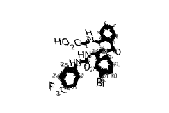 O=C(O)CNCc1ccccc1C(=O)n1cc(NC(=O)Nc2ccc(C(F)(F)F)cc2)c2cc(Br)ccc21